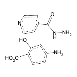 NNC(=O)c1ccncc1.Nc1ccc(C(=O)O)c(O)c1